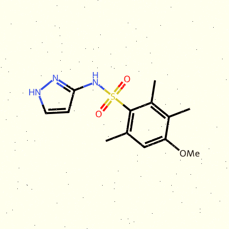 COc1cc(C)c(S(=O)(=O)Nc2cc[nH]n2)c(C)c1C